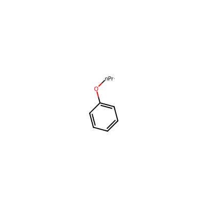 CC[CH]Oc1ccccc1